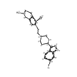 CC(=O)N1CCc2c(sc(CCN3CCC(c4noc5cc(F)ccc45)CC3)c2Br)C1